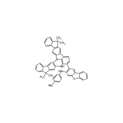 CC(C)(C)c1ccc(Nc2cc3sc4ccccc4c3cc2-c2ccc3c4cc5c(cc4n4c3c2Bc2cc3c(cc2-4)-c2ccccc2C3(C)C)-c2ccccc2C5(C)C)cc1